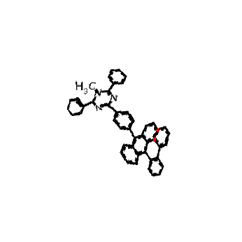 CN1C(c2ccccc2)=NC(c2ccc(-c3c4ccccc4c(-c4ccccc4-c4ccccc4)c4ccccc34)cc2)=NC1C1=CCCC=C1